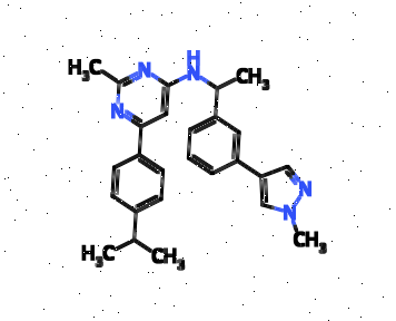 Cc1nc(NC(C)c2cccc(-c3cnn(C)c3)c2)cc(-c2ccc(C(C)C)cc2)n1